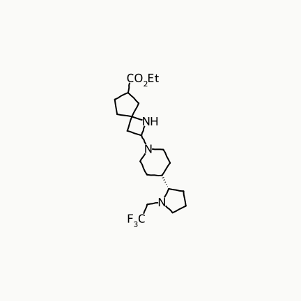 CCOC(=O)C1CCC2(C1)CC(N1CCC([C@@H]3CCCN3CC(F)(F)F)CC1)N2